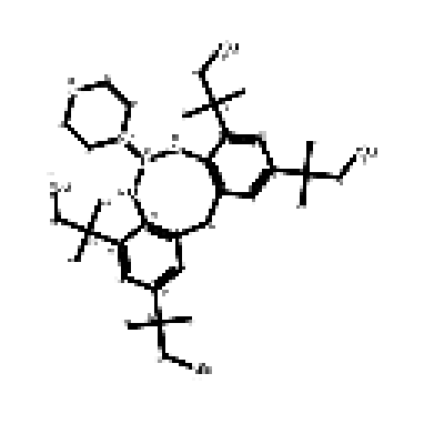 CC(C)(C)CC(C)(C)c1cc2c(c(C(C)(C)CC(C)(C)C)c1)OP(N1CCOCC1)Oc1c(cc(C(C)(C)CC(C)(C)C)cc1C(C)(C)CC(C)(C)C)C2